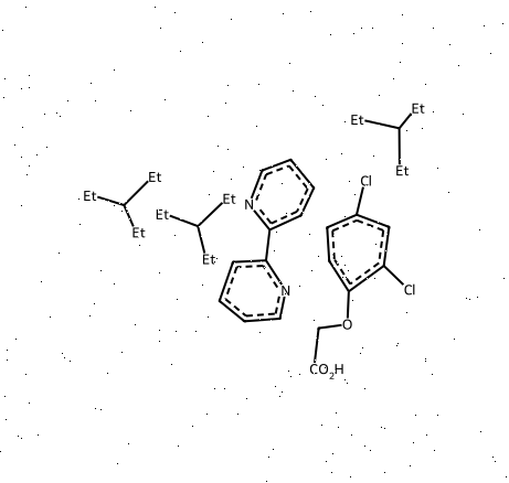 CCC(CC)CC.CCC(CC)CC.CCC(CC)CC.O=C(O)COc1ccc(Cl)cc1Cl.c1ccc(-c2ccccn2)nc1